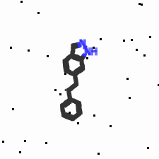 [CH](Cc1ccc2cn[nH]c2c1)c1ccccc1